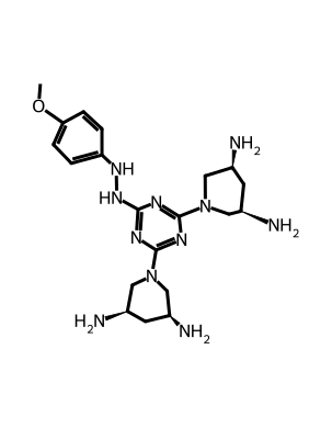 COc1ccc(NNc2nc(N3C[C@H](N)C[C@H](N)C3)nc(N3C[C@H](N)C[C@H](N)C3)n2)cc1